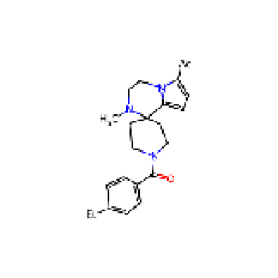 CCc1ccc(C(=O)N2CCC3(CC2)c2ccc(C(C)=O)n2CCN3C)cc1